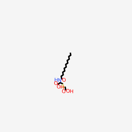 CCCCCCCCCCCCCC(=O)NC(CSCC(=O)O)C(=O)O